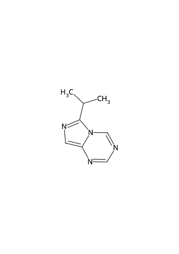 CC(C)c1ncc2ncncn12